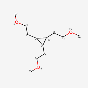 COCCC1C(CCOC)C1CCOC